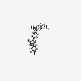 CC(C)(C)OC(=O)N1CCC(c2nn(-c3ccc(F)cc3)cc2I)CC1